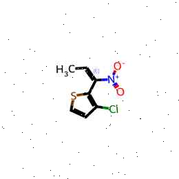 C/C=C(\c1sccc1Cl)[N+](=O)[O-]